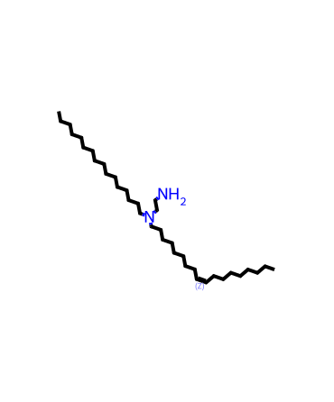 CCCCCCCC/C=C\CCCCCCCCN(CCN)CCCCCCCCCCCCCCCC